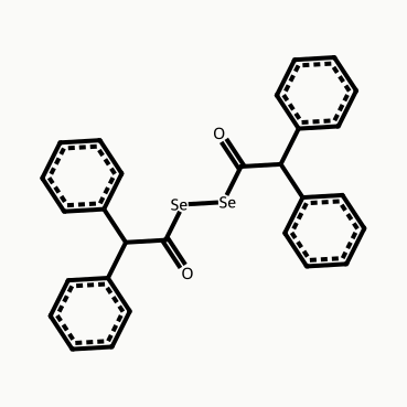 O=C([Se][Se]C(=O)C(c1ccccc1)c1ccccc1)C(c1ccccc1)c1ccccc1